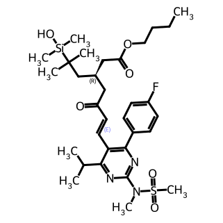 CCCCOC(=O)C[C@@H](CC(=O)/C=C/c1c(-c2ccc(F)cc2)nc(N(C)S(C)(=O)=O)nc1C(C)C)CC(C)(C)[Si](C)(C)O